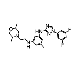 Cc1cc(NCCN2CC(C)OCC2C)cc(Nc2ncn(-c3cc(F)cc(F)c3)n2)c1